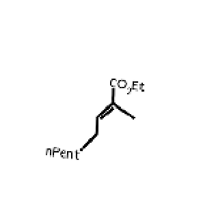 CCCCCC/C=C(\C)C(=O)OCC